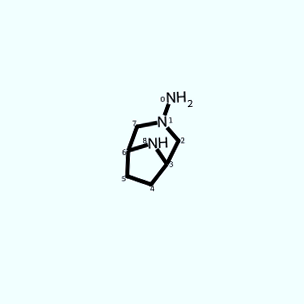 NN1CC2CCC(C1)N2